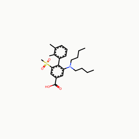 CCCCN(CCCC)c1cc(C(=O)O)cc(S(C)(=O)=O)c1-c1cccc(C)c1C